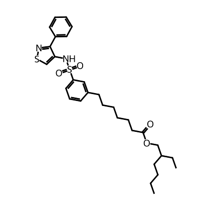 CCCCC(CC)COC(=O)CCCCCCc1cccc(S(=O)(=O)Nc2csnc2-c2ccccc2)c1